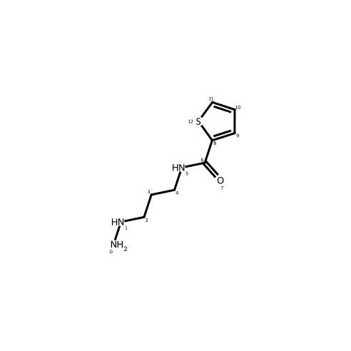 NNCCCNC(=O)c1cccs1